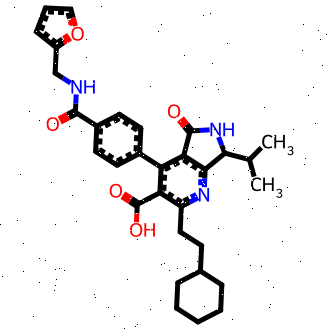 CC(C)C1NC(=O)c2c1nc(CCC1CCCCC1)c(C(=O)O)c2-c1ccc(C(=O)NCc2ccco2)cc1